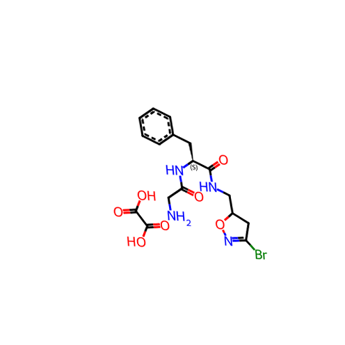 NCC(=O)N[C@@H](Cc1ccccc1)C(=O)NCC1CC(Br)=NO1.O=C(O)C(=O)O